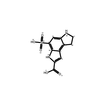 O=C(O)c1cc2c3c(cc(S(=O)(=O)O)c2[nH]1)NCC3